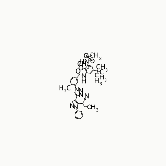 CCC(C#N)c1c(-c2cn(-c3cc(C(=O)Nc4cc(C(C)(C)C)cc(NS(C)(=O)=O)c4OC)ccc3C)nn2)cnn1-c1ccccc1